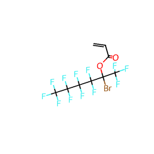 C=CC(=O)OC(Br)(C(F)(F)F)C(F)(F)C(F)(F)C(F)(F)C(F)(F)F